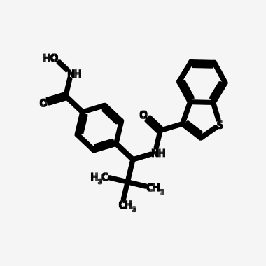 CC(C)(C)C(NC(=O)c1csc2ccccc12)c1ccc(C(=O)NO)cc1